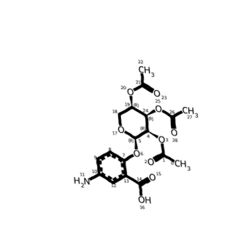 CC(=O)O[C@H]1[C@@H](Oc2ccc(N)cc2C(=O)O)OC[C@@H](OC(C)=O)[C@H]1OC(C)=O